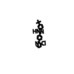 CC(C)(C)c1ccc2nc(-c3ccc(-c4ncccc4Cl)cc3)[nH]c2c1